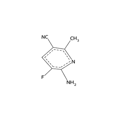 Cc1nc(N)c(F)cc1C#N